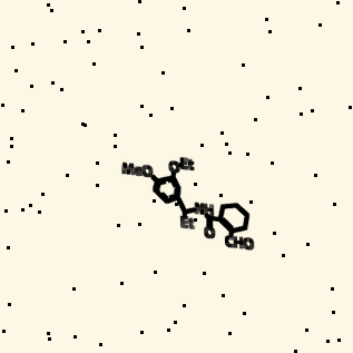 CCOc1cc(C(CC)NC(=O)C2=C(C=O)CCCC2)ccc1OC